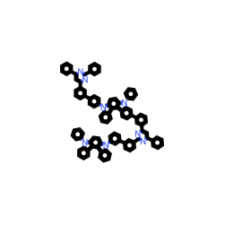 c1ccc(-c2cc(-c3cccc(-c4ccc(-n5c6ccccc6c6c7c8ccc(-c9cccc(-c%10cc(-c%11ccccc%11)nc(-c%11cccc(-c%12cccc(-n%13c%14ccccc%14c%14c%15c%16ccccc%16n(-c%16ccccc%16)c%15ccc%14%13)c%12)c%11)n%10)c9)cc8n(-c8ccccc8)c7ccc65)cc4)c3)nc(-c3ccccc3)n2)cc1